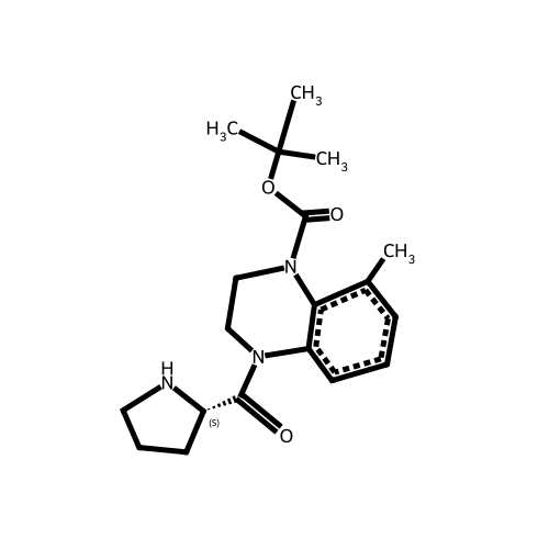 Cc1cccc2c1N(C(=O)OC(C)(C)C)CCN2C(=O)[C@@H]1CCCN1